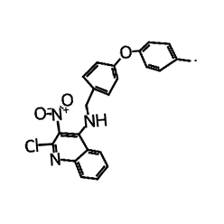 [CH2]c1ccc(Oc2ccc(CNc3c([N+](=O)[O-])c(Cl)nc4ccccc34)cc2)cc1